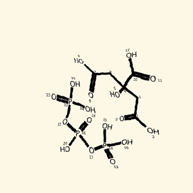 O=C(O)CC(O)(CC(=O)O)C(=O)O.O=P(O)(O)OP(=O)(O)OP(=O)(O)O